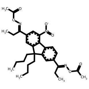 CCCCC1(CCCC)c2cc(/C(CC)=N/OC(C)=O)ccc2-c2c([N+](=O)[O-])cc(/C(CC)=N/OC(C)=O)cc21